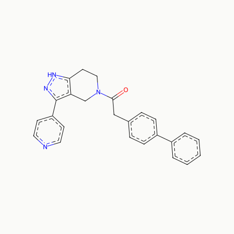 O=C(Cc1ccc(-c2ccccc2)cc1)N1CCc2[nH]nc(-c3ccncc3)c2C1